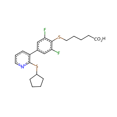 O=C(O)CCCCSc1c(F)cc(-c2cccnc2SC2CCCC2)cc1F